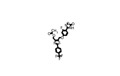 CC(=O)OCc1nc(-c2ccc(C(F)(F)F)cc2)sc1COc1ccc(-c2noc(=O)[nH]2)c(F)c1